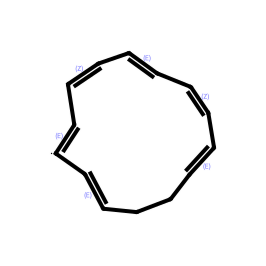 [C]1=C/C=C\C=C\C=C/C=C/CC/C=C/1